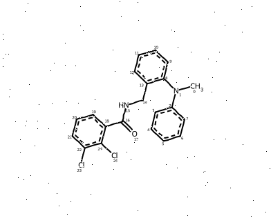 CN(c1ccccc1)c1ccccc1CNC(=O)c1cccc(Cl)c1Cl